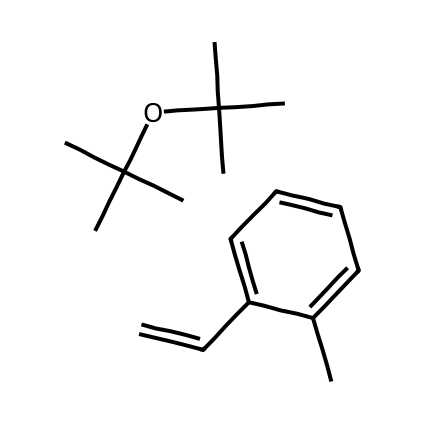 C=Cc1ccccc1C.CC(C)(C)OC(C)(C)C